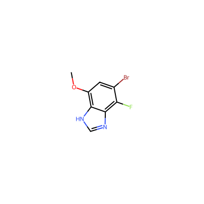 COc1cc(Br)c(F)c2nc[nH]c12